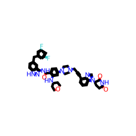 O=C1CCC(n2cnc3c(C#CCN4CCN(c5ccc(C(=O)Nc6n[nH]c7ccc(Cc8cc(F)cc(F)c8)cc67)c(NC6CCOCC6)c5)CC4)cccc32)C(=O)N1